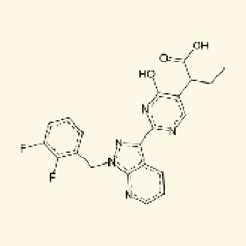 CCC(C(=O)O)c1cnc(-c2nn(Cc3cccc(F)c3F)c3ncccc23)nc1O